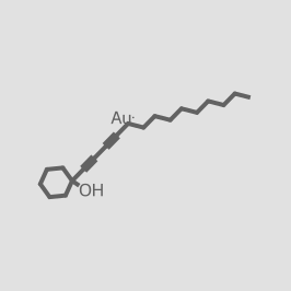 CCCCCCCCCCC#CC#CC1(O)CCCCC1.[Au]